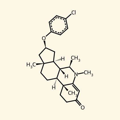 C[C@@H]1[C@H]2[C@@H]3C[C@H](Oc4ccc(Cl)cc4)C[C@@]3(C)CC[C@@H]2[C@@]2(C)CCC(=O)C=C2N1C